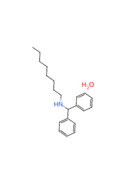 CCCCCCCCNC(c1ccccc1)c1ccccc1.O